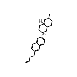 C=CCCc1ccc2cc([C@@H]3CC[C@@H]4CC(C)CCC4C3)ccc2c1